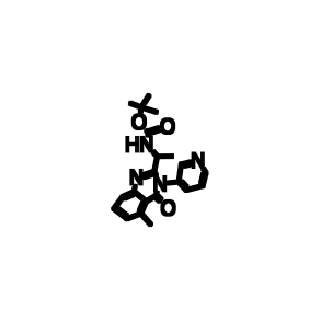 Cc1cccc2nc(C(C)NC(=O)OC(C)(C)C)n(-c3cccnc3)c(=O)c12